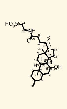 CC1CC[C@@]2(C)C(C1)C[C@H](O)[C@H]1[C@@H]3CC[C@H]([C@@H](C)CCC(=O)NCCS(=O)(=O)O)[C@@]3(C)CC[C@@H]12